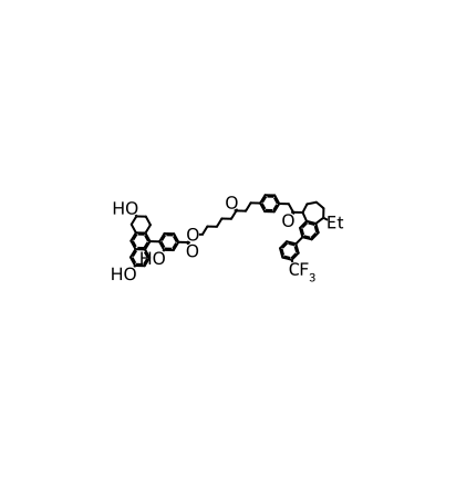 CCC1CCCC(C(=O)Cc2ccc(CCC(=O)CCCCCOC(=O)c3ccc(-c4c5c(cc6cc(O)ccc46)CC(O)CC5)c(O)c3)cc2)c2cc(-c3cccc(C(F)(F)F)c3)ccc21